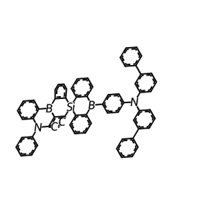 c1ccc(-c2cccc(N(c3ccc(B4c5ccccc5[Si]5(c6ccccc64)c4ccccc4B4c6ccccc6N(c6ccccc6)c6cccc5c64)cc3)c3cccc(-c4ccccc4)c3)c2)cc1